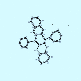 c1ccc(-c2c3c(c(-c4ccccc4)c4cc5ccccc5cc24)Cc2ccccc2C3)cc1